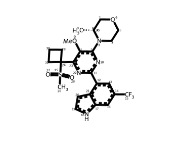 COc1c(N2CCOC[C@H]2C)nc(-c2cc(C(F)(F)F)cc3[nH]ccc23)nc1C1(S(C)(=O)=O)CCC1